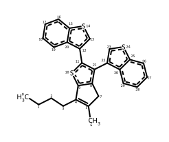 CCCCC1=C(C)Cc2c1sc(-c1csc3ccccc13)c2-c1csc2ccccc12